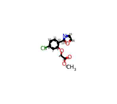 COC(=O)COc1cc(Cl)ccc1-c1ncco1